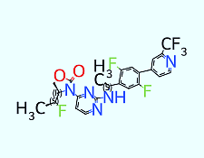 C[C@H](Nc1nccc(N2C(=O)OC[C@@H]2[C@H](C)F)n1)c1cc(F)c(-c2ccnc(C(F)(F)F)c2)cc1F